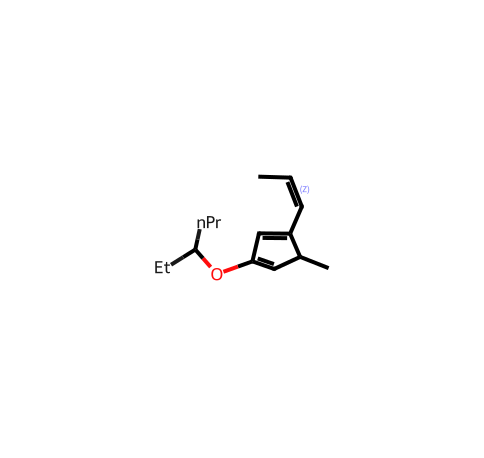 C/C=C\C1=CC(OC(CC)CCC)=CC1C